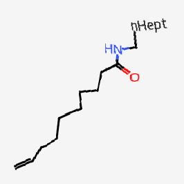 C=CCCCCCCCC(=O)NCCCCCCCC